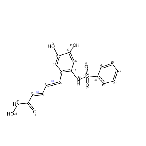 O=C(/C=C/C=C/c1cc(O)c(O)cc1NS(=O)(=O)c1ccccc1)NO